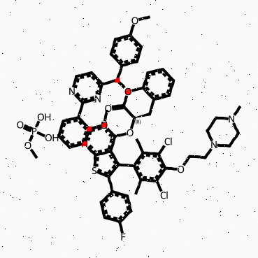 COP(=O)(O)O.COc1ccc(COC(=O)[C@@H](Cc2ccccc2OCc2ccnc(-c3ccccc3OC)n2)Oc2ncnc3sc(-c4ccc(F)cc4)c(-c4c(C)c(Cl)c(OCCN5CCN(C)CC5)c(Cl)c4C)c23)cc1